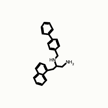 NCC(Cc1cccc2ccccc12)NCc1ccc(-c2ccccc2)cc1